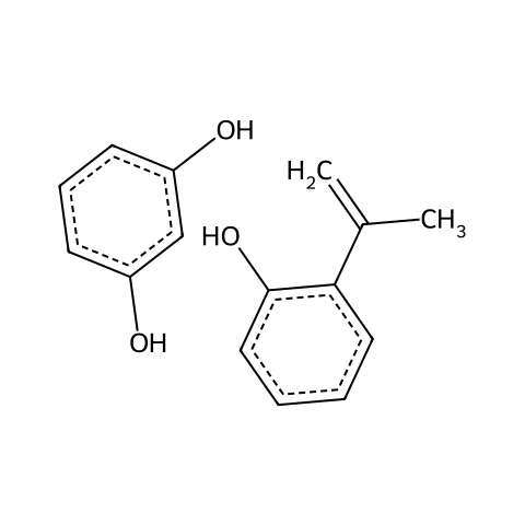 C=C(C)c1ccccc1O.Oc1cccc(O)c1